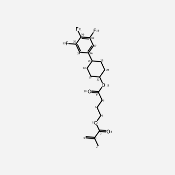 C=C(C)C(=O)OCCCC(=O)OC1CCC(c2cc(F)c(F)c(F)c2)CC1